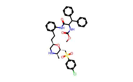 COC(=O)NC(C(=O)Nc1ccccc1CC[C@@H]1CN[C@H](C)[C@@H](CS(=O)(=O)c2ccc(Cl)cc2)O1)C(c1ccccc1)c1ccccc1